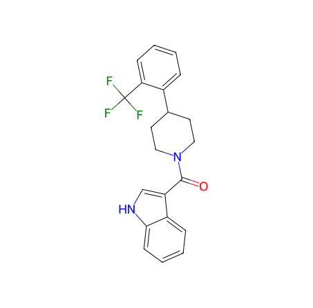 O=C(c1c[nH]c2ccccc12)N1CCC(c2ccccc2C(F)(F)F)CC1